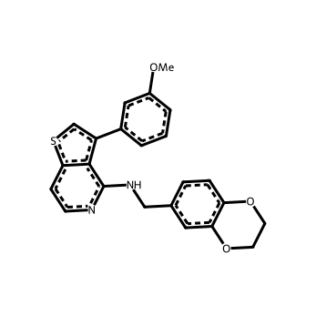 COc1cccc(-c2csc3ccnc(NCc4ccc5c(c4)OCCO5)c23)c1